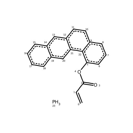 C=CC(=O)Oc1cccc2ccc3cc4ccccc4cc3c12.P